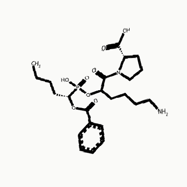 CCCC[C@@H](OC(=O)c1ccccc1)P(=O)(O)OC(CCCCN)C(=O)N1CCC[C@H]1C(=O)O